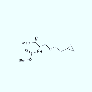 COC(=O)[C@H](COCCC1CC1)NC(=O)OC(C)(C)C